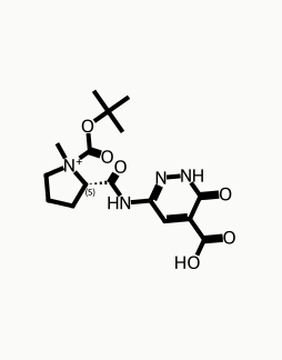 CC(C)(C)OC(=O)[N+]1(C)CCC[C@H]1C(=O)Nc1cc(C(=O)O)c(=O)[nH]n1